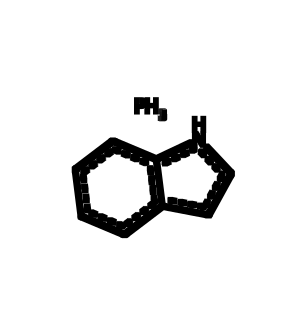 P.c1ccc2[nH]ccc2c1